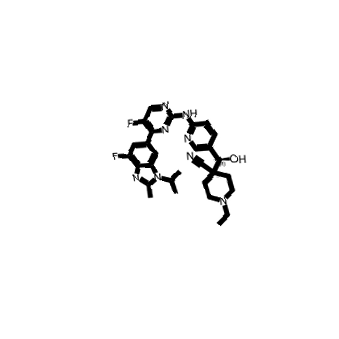 CCN1CCC(C#N)([C@H](O)c2ccc(Nc3ncc(F)c(-c4cc(F)c5nc(C)n(C(C)C)c5c4)n3)nc2)CC1